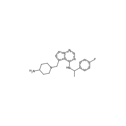 CC(Nc1ncnn2ccc(CN3CCC(N)CC3)c12)c1ccc(F)cc1